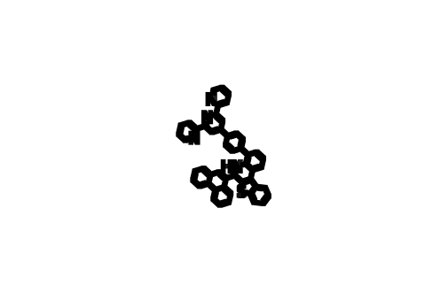 c1ccc(-c2cc(-c3ccc(-c4cccc5c4NC(c4cc6ccccc6c6ccccc46)c4sc6ccccc6c4-5)cc3)cc(-c3ccccn3)n2)nc1